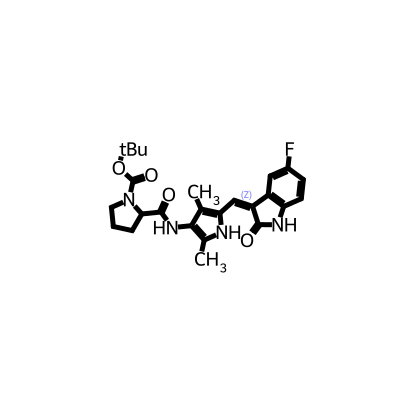 Cc1[nH]c(/C=C2\C(=O)Nc3ccc(F)cc32)c(C)c1NC(=O)C1CCCN1C(=O)OC(C)(C)C